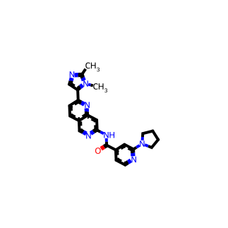 Cc1ncc(-c2ccc3cnc(NC(=O)c4ccnc(N5CCCC5)c4)cc3n2)n1C